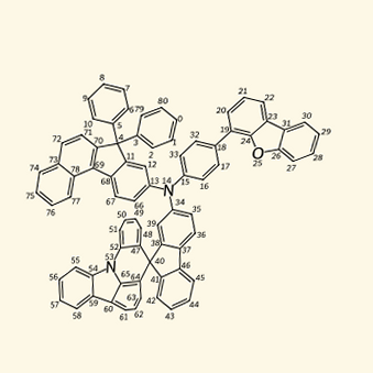 c1ccc(C2(c3ccccc3)c3cc(N(c4ccc(-c5cccc6c5oc5ccccc56)cc4)c4ccc5c(c4)C4(c6ccccc6-5)c5ccccc5-n5c6ccccc6c6cccc4c65)ccc3-c3c2ccc2ccccc32)cc1